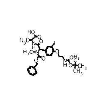 CC(NC(=O)C(c1ccc(OCCNC(=O)OC(C)(C)C)c(I)c1)N(C)C(=O)OCc1ccccc1)C(=O)O